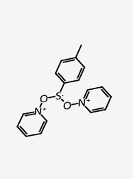 Cc1ccc([S](O[n+]2ccccc2)O[n+]2ccccc2)cc1